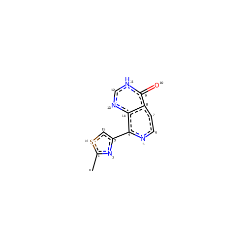 Cc1nc(-c2nccc3c(=O)[nH]cnc23)cs1